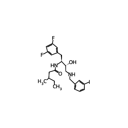 CCC(C)CC(=O)N[C@@H](Cc1cc(F)cc(F)c1)[C@H](O)CNCc1cccc(I)c1